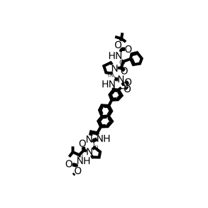 COC(=O)N[C@H](C(=O)N1CCC[C@H]1c1ncc(-c2ccc3cc(-c4ccc5c(c4)NC([C@@H]4CCCN4C(=O)[C@H](NC(=O)OC(C)(C)C)C4=CCCC=C4)=NS5(=O)=O)ccc3c2)[nH]1)C(C)C